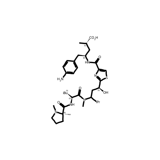 CC[C@H](C)[C@H](NC(=O)[C@@]1(C)CCCN1C)C(=O)N(C)C(C[C@H](O)c1nc(C(=O)N[C@@H](Cc2ccc(N)cc2)C[C@H](C)C(=O)O)cs1)C(C)C